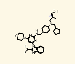 C/C(=C\O)CN(CC1CCCC1)[C@H]1CC[C@H](CNc2nc(N3CCOCC3)cc(-n3c(C(F)F)nc4ccccc43)n2)CC1